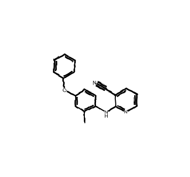 Cc1cc(Oc2ccccc2)ccc1Nc1ncccc1C#N